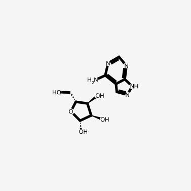 Nc1ncnc2[nH]ncc12.OC[C@H]1O[C@@H](O)[C@H](O)[C@@H]1O